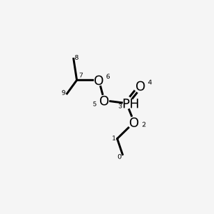 CCO[PH](=O)OOC(C)C